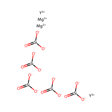 O=[Si]([O-])[O-].O=[Si]([O-])[O-].O=[Si]([O-])[O-].O=[Si]([O-])[O-].O=[Si]([O-])[O-].[Mg+2].[Mg+2].[Y+3].[Y+3]